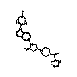 O=C(c1nccs1)N1CCN(C2CC(=O)N(c3ccc4c(ccn4-c4ncc(F)cn4)c3)C2)CC1